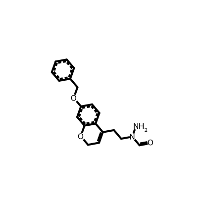 NN(C=O)CCC1=CCOc2cc(OCc3ccccc3)ccc21